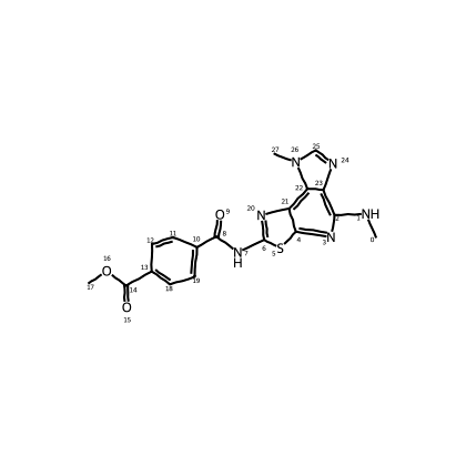 CNc1nc2sc(NC(=O)c3ccc(C(=O)OC)cc3)nc2c2c1ncn2C